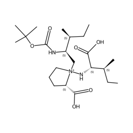 CC[C@H](C)[C@H](N[N+]1(C[C@@H](NC(=O)OC(C)(C)C)[C@@H](C)CC)CCC[C@H]1C(=O)O)C(=O)O